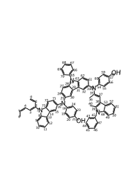 C=C/C(=C\C=C/C)n1c2ccccc2c2cc(N(c3ccc(O)cc3)c3ccc4c(c3)c3cc(N(/C(C)=C/c5c(C)n(-c6ccccc6)c6ccccc56)c5ccc(O)cc5)ccc3n4-c3ccccc3)ccc21